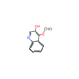 O=COc1c(O)cnc2ccccc12